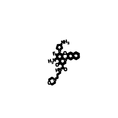 Nc1c(F)c(N2CCC(N)C2)c2c3c1c(=O)c(C(=O)NCCCN1CCOCC1)cn3-c1cc3ccccc3cc1O2